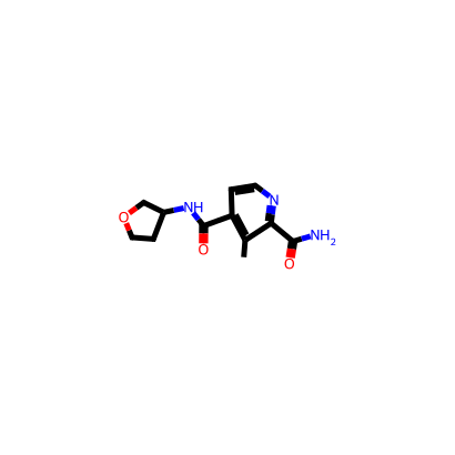 Cc1c(C(=O)NC2CCOC2)ccnc1C(N)=O